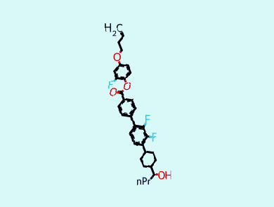 C=CCCOc1ccc(OC(=O)c2ccc(-c3ccc(C4CCC(C(O)CCC)CC4)c(F)c3F)cc2)c(F)c1